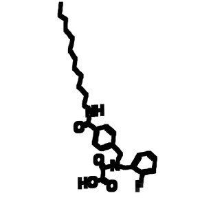 CCCCCCCCCCCCNC(=O)c1ccc(CN(Cc2ccccc2F)C(=O)C(=O)O)cc1